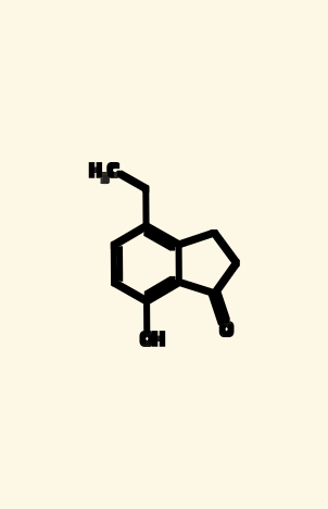 CCc1ccc(O)c2c1CCC2=O